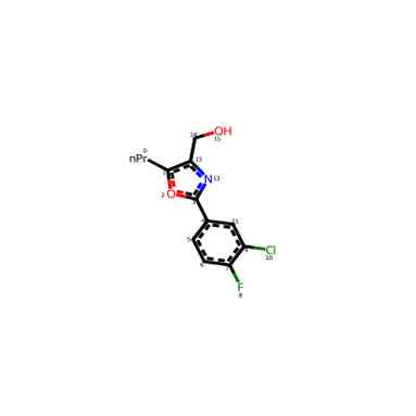 CCCc1oc(-c2ccc(F)c(Cl)c2)nc1CO